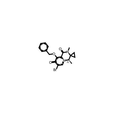 C[C@H]1n2cc(Br)c(=O)c(OCc3ccccc3)c2C(=O)N(C)C12CC2